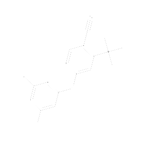 CC(C)(C)c1cc(Sc2cc(Cl)cc(Cl)c2)ccc1C#N